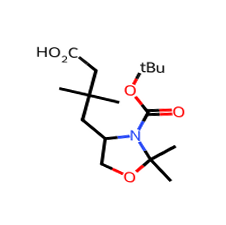 CC(C)(CC(=O)O)CC1COC(C)(C)N1C(=O)OC(C)(C)C